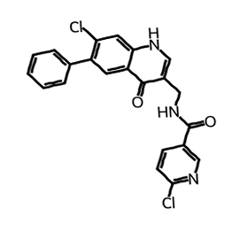 O=C(NCc1c[nH]c2cc(Cl)c(-c3ccccc3)cc2c1=O)c1ccc(Cl)nc1